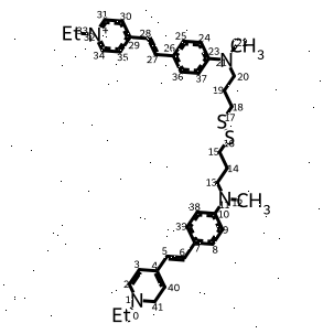 CCN1C=CC(/C=C/c2ccc(N(C)CCCSSCCCN(C)c3ccc(/C=C/c4cc[n+](CC)cc4)cc3)cc2)=CC1